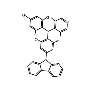 Cc1cncc(Cl)c1C(c1c(Cl)cc(Cl)cc1Cl)c1c(Cl)cc(-n2c3ccccc3c3ccccc32)cc1Cl